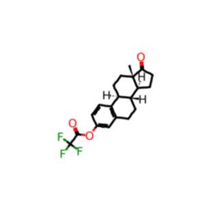 C[C@]12CC[C@@H]3c4ccc(OC(=O)C(F)(F)F)cc4CC[C@H]3[C@@H]1CCC2=O